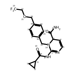 NC(=O)C1C=CN=C(NC(=O)C2CC2)N1Cc1ccc(COCC(F)(F)F)cc1